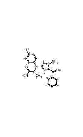 C[C@H](C(N)=O)N(c1ccc(Cl)nc1)c1nc(N)c(C(=O)c2ccccc2)s1